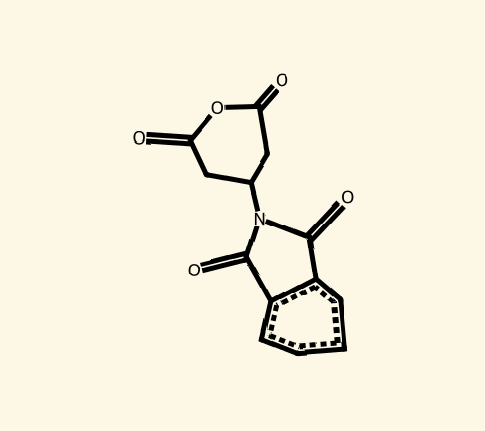 O=C1CC(N2C(=O)c3ccccc3C2=O)CC(=O)O1